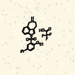 CCOc1ccc(C(C)C)cc1S(=O)(=O)n1cc2c3c(cccc31)CNCC2.O=C(O)C(F)(F)F